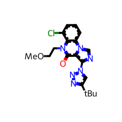 COCCn1c(=O)c2c(-n3cc(C(C)(C)C)nn3)ncn2c2cccc(Cl)c21